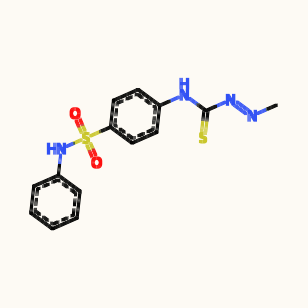 CN=NC(=S)Nc1ccc(S(=O)(=O)Nc2ccccc2)cc1